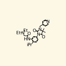 CCN(CC)CC(=O)Nc1cc(N2C(=O)N(Cc3ccncc3)C(C)(C)C2=O)ccc1C(C)C